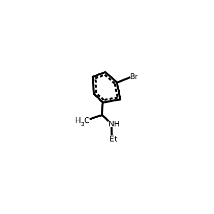 CCNC(C)c1cccc(Br)c1